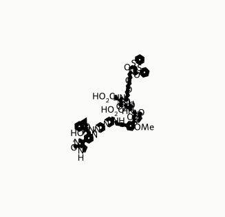 COc1ccc(C#CCNC2(C)CCN(C3CCN(c4nc([C@@](CO)(OC5CC5)c5ccccc5)c5cc(-c6cn(C)c(=O)c7[nH]ccc67)ccc5n4)CC3)CC2)cc1N1CCC(=O)N(CNC(=O)[C@H](CC(=O)O)NC(=O)[C@@H](CCC(=O)O)NC(=O)CCOCCOCCN2C(=O)C(Sc3ccccc3)=C(Sc3ccccc3)C2=O)C1=O